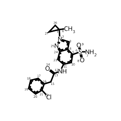 CC1(n2cc3c(S(N)(=O)=O)cc(NC(=O)Cc4ccccc4Cl)cc3n2)CC1